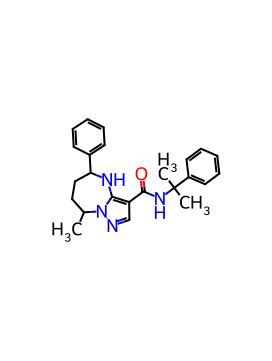 CC1CCC(c2ccccc2)Nc2c(C(=O)NC(C)(C)c3ccccc3)cnn21